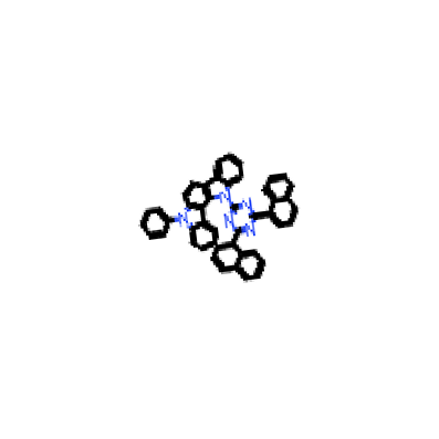 c1ccc(-n2c3ccccc3c3c2ccc2c4ccccc4n(-c4nc(-c5cccc6ccccc56)nc(-c5cccc6ccccc56)n4)c23)cc1